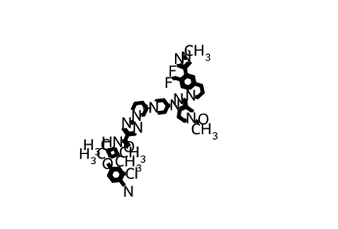 CC(=O)N1CCc2c(c(N3CCCc4cc(-c5cnn(C)c5)c(C(F)F)cc43)nn2C2CCN([C@H]3CCCN(c4ncc(C(=O)NC5C(C)(C)C(Oc6ccc(C#N)c(Cl)c6)C5(C)C)cn4)C3)CC2)C1